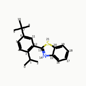 CC(C)c1ccc(C(C)(C)C)cc1-c1nc2ccccc2s1